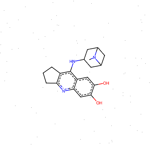 CN1C2CC(Nc3c4c(nc5cc(O)c(O)cc35)CCC4)CC1C2